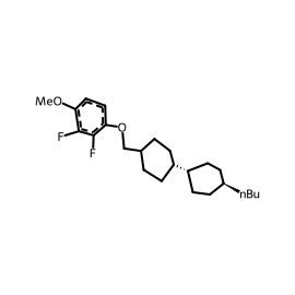 CCCC[C@H]1CC[C@H](C2CCC(COc3ccc(OC)c(F)c3F)CC2)CC1